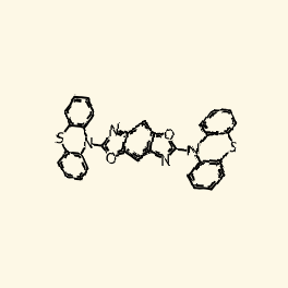 c1ccc2c(c1)Sc1ccccc1N2c1nc2cc3oc(N4c5ccccc5Sc5ccccc54)nc3cc2o1